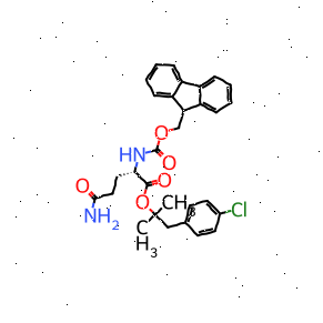 CC(C)(Cc1ccc(Cl)cc1)OC(=O)[C@H](CCC(N)=O)NC(=O)OCC1c2ccccc2-c2ccccc21